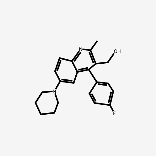 Cc1nc2ccc(N3CCCCC3)cc2c(-c2ccc(F)cc2)c1CO